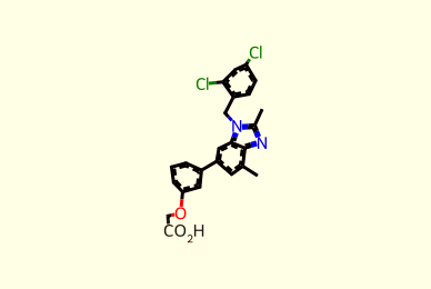 Cc1cc(-c2cccc(OCC(=O)O)c2)cc2c1nc(C)n2Cc1ccc(Cl)cc1Cl